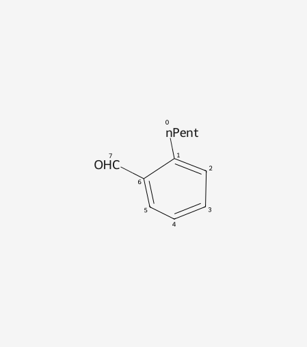 CCCCCc1ccccc1C=O